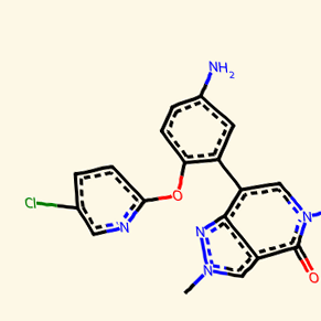 Cn1cc2c(=O)n(C)cc(-c3cc(N)ccc3Oc3ccc(Cl)cn3)c2n1